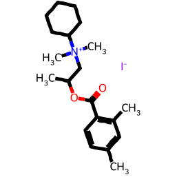 Cc1ccc(C(=O)OC(C)C[N+](C)(C)C2CCCCC2)c(C)c1.[I-]